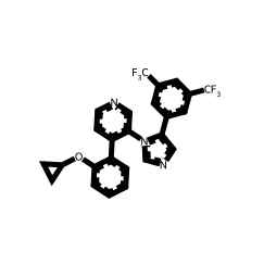 FC(F)(F)c1cc(-c2cncn2-c2cnccc2-c2ccccc2OC2CC2)cc(C(F)(F)F)c1